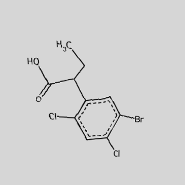 CCC(C(=O)O)c1cc(Br)c(Cl)cc1Cl